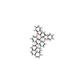 C1=Cc2ccc3ccc(-c4c5ccccc5c(-c5c6oc7ccccc7c6cc6c5oc5ccccc56)c5ccccc45)c4c3c2C(=CC4)C1